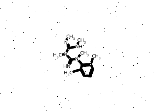 C/N=C(\NC)N(C)C(=N)N(C)c1c(C)cccc1C